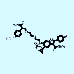 CNC(=O)c1c(-c2ccc(F)cc2)oc2cc(N(CCOCCOCC(C(N)=O)c3ccc(C(=O)O)cc3)S(C)(=O)=O)c(C3CC3)cc12